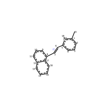 Cc1cccc(/C=C/c2cccc3ccccc23)n1